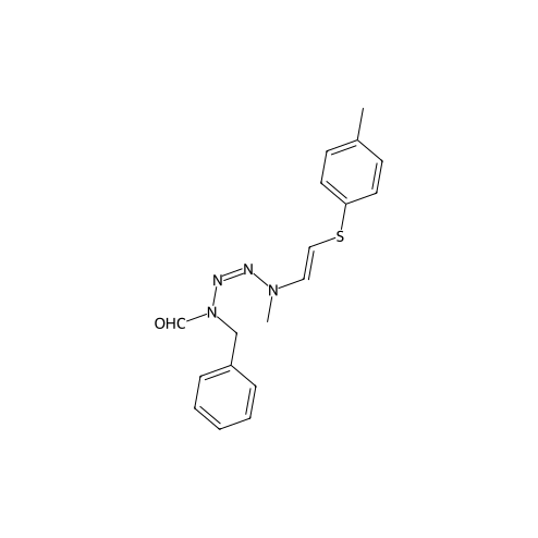 Cc1ccc(S/C=C/N(C)/N=N\N(C=O)Cc2ccccc2)cc1